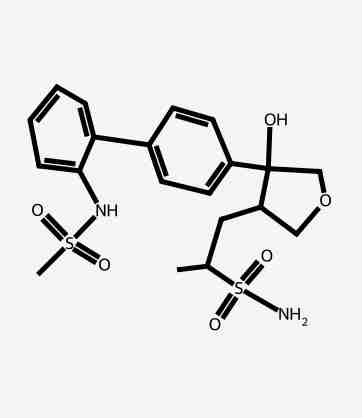 CC(CC1COCC1(O)c1ccc(-c2ccccc2NS(C)(=O)=O)cc1)S(N)(=O)=O